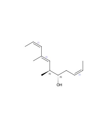 C/C=C\C[C@H](O)[C@@H](C)/C=C(C)/C=C\C